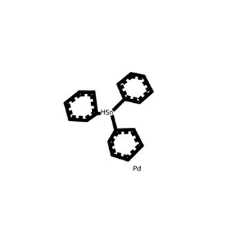 [Pd].c1cc[c]([SnH]([c]2ccccc2)[c]2ccccc2)cc1